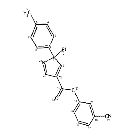 CCC1(c2ccc(C(F)(F)F)cc2)C=C(C(=O)Oc2cccc(C#N)c2)C=N1